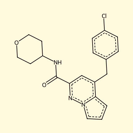 O=C(NC1CCOCC1)c1cc(Cc2ccc(Cl)cc2)c2cccn2n1